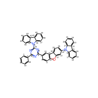 c1ccc(-c2nc(-c3ccc4oc5cc(-n6c7ccccc7c7ccccc76)ccc5c4c3)nc(-n3c4ccccc4c4ccccc43)n2)cc1